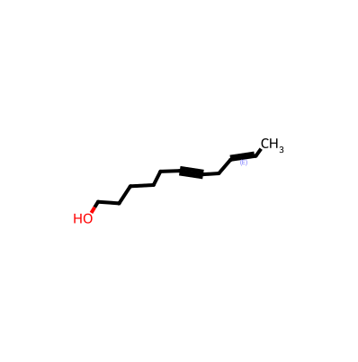 C/C=C/CC#CCCCCCO